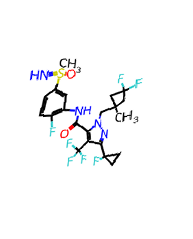 CC1(Cn2nc(C3(F)CC3)c(C(F)(F)F)c2C(=O)Nc2cc(S(C)(=N)=O)ccc2F)CC(F)(F)C1